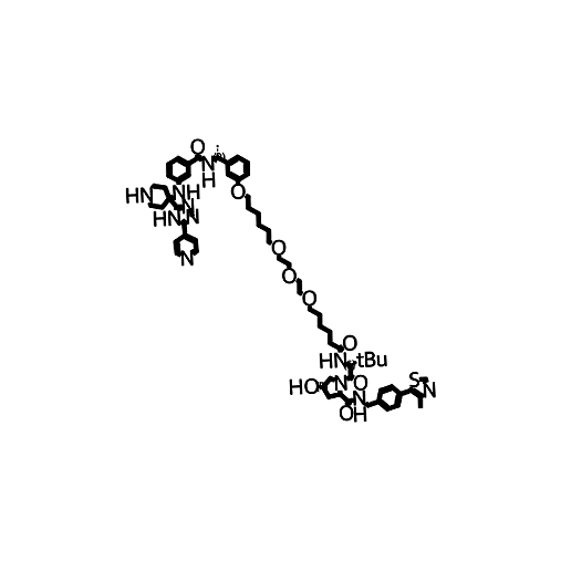 Cc1ncsc1-c1ccc(CNC(=O)C2C[C@@H](O)CN2C(=O)[C@@H](NC(=O)CCCCCOCCOCCOCCCCCCOc2cccc([C@@H](C)NC(=O)c3cccc(NC4(c5nnc(-c6ccncc6)[nH]5)CCNCC4)c3)c2)C(C)(C)C)cc1